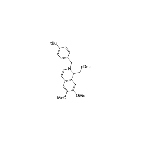 CCCCCCCCCCCC1c2cc(OC)c(OC)cc2C=CN1Cc1ccc(C(C)(C)C)cc1